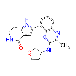 Cc1nc2cccc(-c3cc4c([nH]3)CCNC4=O)c2nc1NC1CCOC1